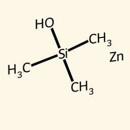 C[Si](C)(C)O.[Zn]